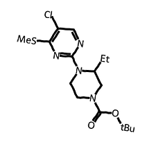 CCC1CN(C(=O)OC(C)(C)C)CCN1c1ncc(Cl)c(SC)n1